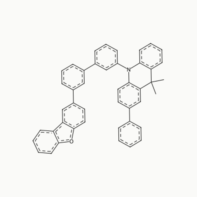 CC1(C)c2ccccc2N(c2cccc(-c3cccc(-c4ccc5oc6ccccc6c5c4)c3)c2)c2ccc(-c3ccccc3)cc21